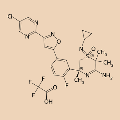 CC1(C)C(N)=N[C@](C)(c2cc(-c3cc(-c4ncc(Cl)cn4)no3)ccc2F)C[S@@]1(=O)=NC1CC1.O=C(O)C(F)(F)F